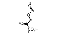 O=POCC(=O)C(=O)O